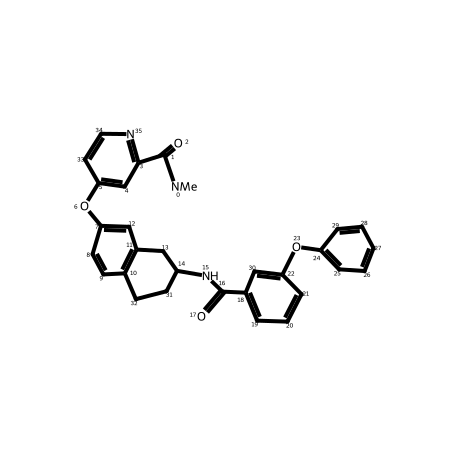 CNC(=O)c1cc(Oc2ccc3c(c2)CC(NC(=O)c2cccc(Oc4ccccc4)c2)CC3)ccn1